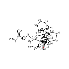 C=CC(=O)OCCC[Si](C1([Si](C)(C)C)CCCCO1)(C1([Si](C)(C)C)CCCCO1)C1([Si](C)(C)C)CCCCO1